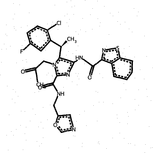 CC(=O)Cn1c(C(=O)NCc2cnco2)nc(NC(=O)c2nsc3ccccc23)c1[C@H](C)c1cc(F)ccc1Cl